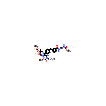 CCOCc1nc2c(N(C(=O)O)C(=O)OC(C)(C)C)nc3cc(Cc4cccc(C(=O)NCCNC(=O)OC(C)(C)C)c4)ccc3c2n1CC(C)(C)OC(=O)OC(C)(C)C